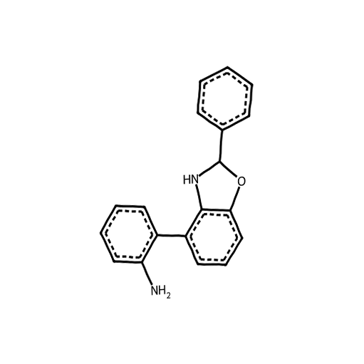 Nc1ccccc1-c1cccc2c1NC(c1ccccc1)O2